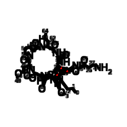 CC[C@H](C)[C@@H]1NCC(=O)CNC(=O)[C@@H]2Cc3c([nH]c4ccc(NCC(=O)CCN)cc34)SC[C@H](NC(=O)CNC1=O)C(=O)N[C@@H](CC(=O)OC)C(=O)N1CCC[C@H]1C(=O)N[C@@H]([C@@H](C)CC)C(=O)N2